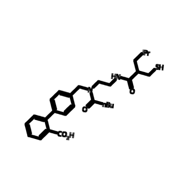 CCCCC(=O)N(CCNC(=O)C(CS)CC(C)C)Cc1ccc(-c2ccccc2C(=O)O)cc1